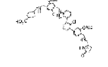 COc1cc(Cn2ncc3c(-c4cccc(-c5ccc(CNC[C@@H]6CCC(=O)N6)c(OC)c5)c4Cl)cccc32)c(Cl)cc1CNCC1CCC(C(=O)O)CC1